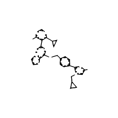 COc1ncnc(C2CC2)c1-c1nc(NCc2ccc(-c3nc(C(F)(F)F)cn3CC3CC3)cc2)c2nccn2n1